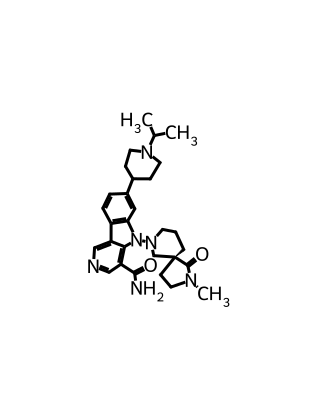 CC(C)N1CCC(c2ccc3c4cncc(C(N)=O)c4n(N4CCC[C@@]5(CCN(C)C5=O)C4)c3c2)CC1